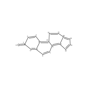 O=C1C=Cc2c(ccc3c4c(ccc23)=CC=C4)=C1